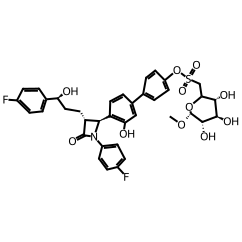 CO[C@@H]1OC(CS(=O)(=O)Oc2ccc(-c3ccc([C@@H]4[C@@H](CC[C@H](O)c5ccc(F)cc5)C(=O)N4c4ccc(F)cc4)c(O)c3)cc2)[C@H](O)[C@@H](O)[C@@H]1O